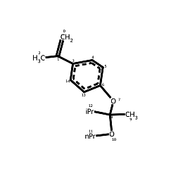 C=C(C)c1ccc(OC(C)(OCCC)C(C)C)cc1